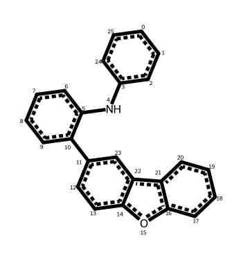 c1ccc(Nc2ccccc2-c2ccc3oc4ccccc4c3c2)cc1